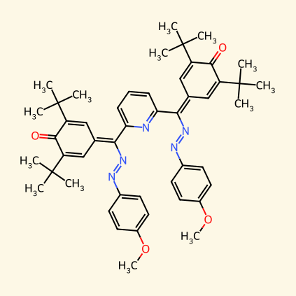 COc1ccc(/N=N/C(=C2C=C(C(C)(C)C)C(=O)C(C(C)(C)C)=C2)c2cccc(C(/N=N/c3ccc(OC)cc3)=C3C=C(C(C)(C)C)C(=O)C(C(C)(C)C)=C3)n2)cc1